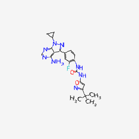 CC(C)(C)c1cc(NC(=O)Nc2ccc(-c3nn(C4CC4)c4ncnc(N)c34)cc2F)on1